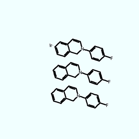 Fc1ccc(N2C=Cc3ccccc3C2)cc1.Fc1ccc(N2C=Cc3ccccc3C2)cc1.Fc1ccc(N2C=Cc3ccccc3C2)cc1.[Ir]